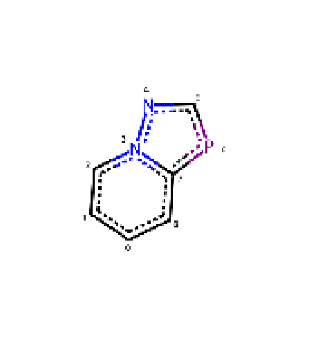 c1ccn2ncpc2c1